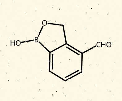 O=Cc1cccc2c1COB2O